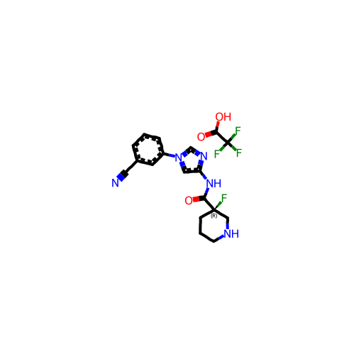 N#Cc1cccc(-n2cnc(NC(=O)[C@@]3(F)CCCNC3)c2)c1.O=C(O)C(F)(F)F